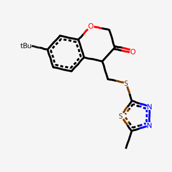 Cc1nnc(SCC2C(=O)COc3cc(C(C)(C)C)ccc32)s1